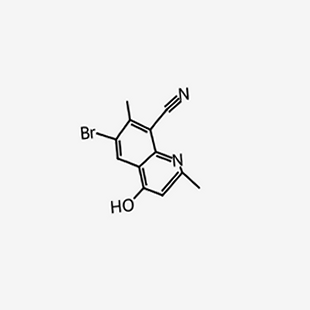 Cc1cc(O)c2cc(Br)c(C)c(C#N)c2n1